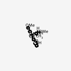 COC1CCN(C2CCN(C(=O)[C@@H](Cc3cc(C)c4c(c3)NC(OC)N4)OC(=O)N3CCC(N4CCc5ccccc5NC4=O)CC3)CC2)CC1